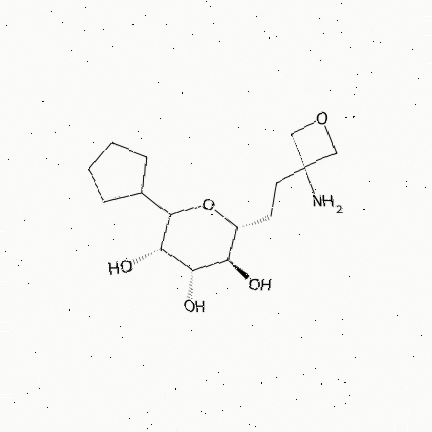 NC1(CC[C@H]2OC(C3CCCC3)[C@@H](O)[C@@H](O)[C@@H]2O)COC1